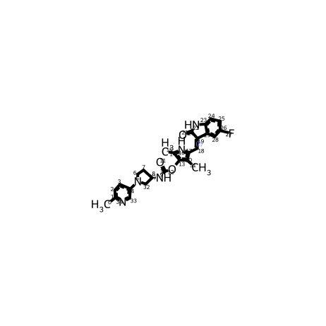 Cc1ccc(N2CC[C@H](NC(=O)Oc3c(C)[nH]c(/C=C4\C(=O)Nc5ccc(F)cc54)c3C)C2)cn1